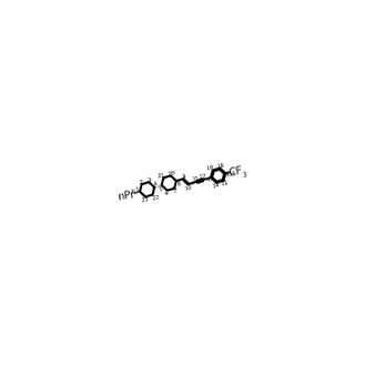 CCC[C@H]1CC[C@H](C2CCC(/C=C/C#Cc3ccc(C(F)(F)F)cc3)CC2)CC1